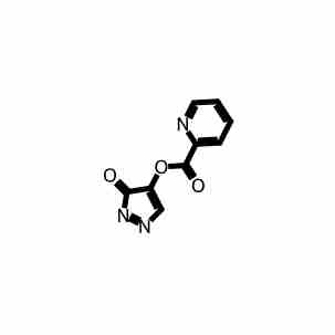 O=C1N=NC=C1OC(=O)c1ccccn1